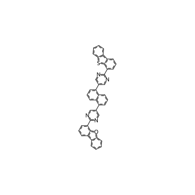 c1ccc2c(c1)oc1c(-c3ncc(-c4cccc5c(-c6cnc(-c7cccc8c7sc7ccccc78)nc6)cccc45)cn3)cccc12